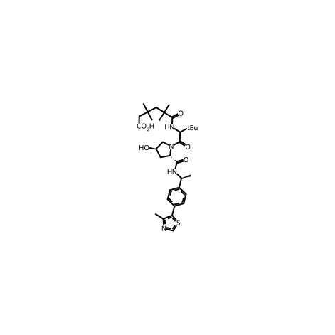 Cc1ncsc1-c1ccc([C@H](C)NC(=O)[C@@H]2C[C@@H](O)CN2C(=O)C(NC(=O)C(C)(C)CC(C)(C)CC(=O)O)C(C)(C)C)cc1